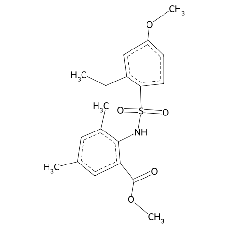 CCc1cc(OC)ccc1S(=O)(=O)Nc1c(C)cc(C)cc1C(=O)OC